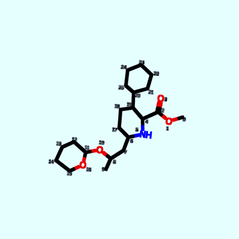 COC(=O)C1NC(CC(C)OC2CCCCO2)CCC1C1CCCCC1